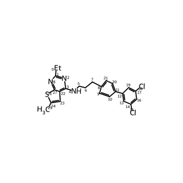 CCc1nc(NCCCc2ccc(-c3cc(Cl)cc(Cl)c3)cc2)c2cc(C)sc2n1